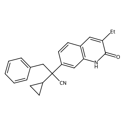 CCc1cc2ccc(C(C#N)(Cc3ccccc3)C3CC3)cc2[nH]c1=O